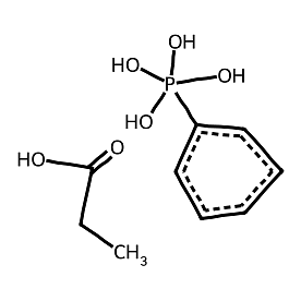 CCC(=O)O.OP(O)(O)(O)c1ccccc1